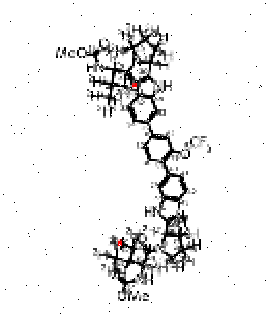 [2H]C([2H])([2H])C([2H])(C([2H])([2H])[2H])[C@]([2H])(NC(=O)OC)C(=O)N1C([2H])([2H])C([2H])([2H])C([2H])([2H])[C@]1([2H])c1nc2ccc(-c3ccc(-c4ccc5nc([C@]6([2H])N(C(=O)[C@@]([2H])(NC(=O)OC)C([2H])(C([2H])([2H])[2H])C([2H])([2H])[2H])C([2H])([2H])C([2H])([2H])C6([2H])[2H])[nH]c5c4)c(OC(F)(F)F)c3)cc2[nH]1